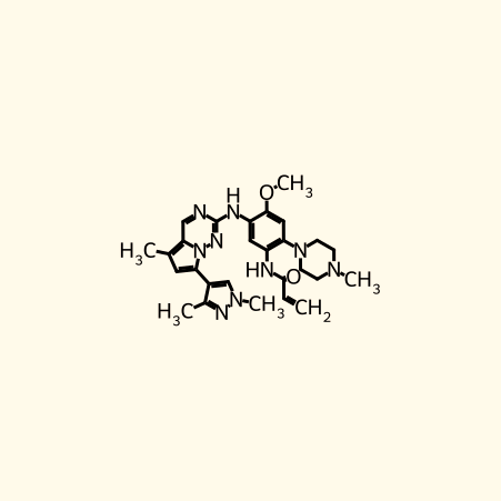 C=CC(=O)Nc1cc(Nc2ncc3c(C)cc(-c4cn(C)nc4C)n3n2)c(OC)cc1N1CCN(C)CC1